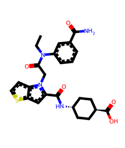 CCN(C(=O)Cn1c(C(=O)N[C@H]2CC[C@H](C(=O)O)CC2)cc2sccc21)c1cccc(C(N)=O)c1